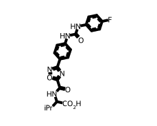 CC(C)C(NC(=O)c1nc(-c2ccc(NC(=O)Nc3ccc(F)cc3)cc2)no1)C(=O)O